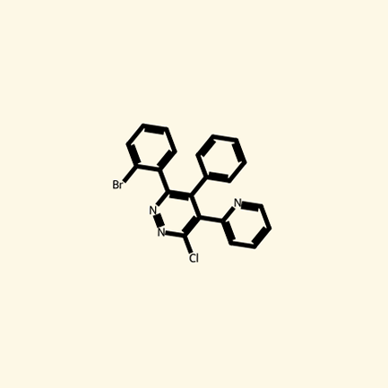 Clc1nnc(-c2ccccc2Br)c(-c2ccccc2)c1-c1ccccn1